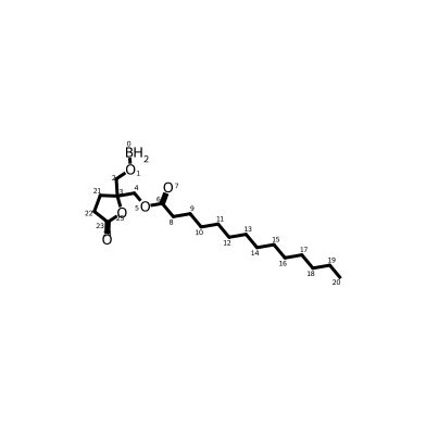 BOCC1(COC(=O)CCCCCCCCCCCCC)CCC(=O)O1